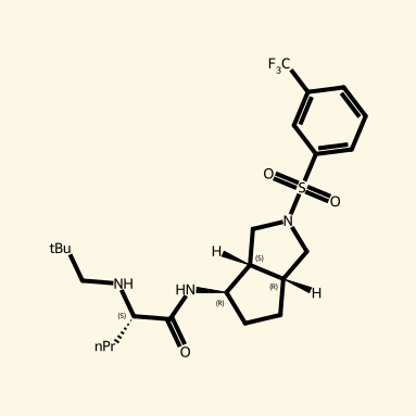 CCC[C@H](NCC(C)(C)C)C(=O)N[C@@H]1CC[C@H]2CN(S(=O)(=O)c3cccc(C(F)(F)F)c3)C[C@H]21